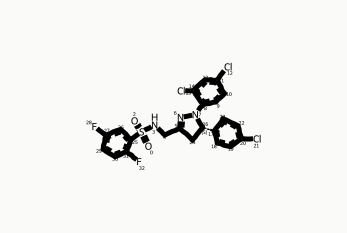 O=S(=O)(NCC1=NN(c2ccc(Cl)cc2Cl)[C@H](c2ccc(Cl)cc2)C1)c1cc(F)ccc1F